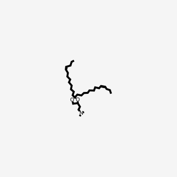 CCC/C=C\CCCCCCCCC1(CCCCCCCC/C=C\CCC)OCC(CCN(C)C)O1